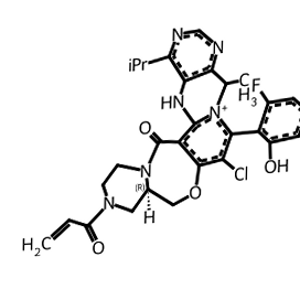 C=CC(=O)N1CCN2C(=O)c3c(c(Cl)c(-c4c(O)cccc4F)[n+]4c3Nc3c(C(C)C)ncnc3C4C)OC[C@H]2C1